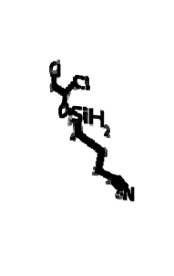 N#CCCC[SiH2]OC(Cl)CCl